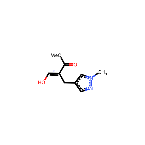 COC(=O)/C(=C/O)Cc1cnn(C)c1